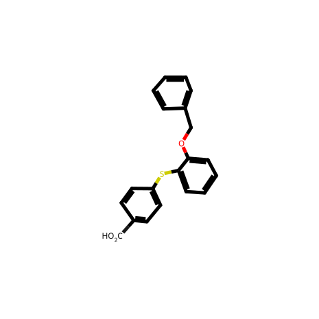 O=C(O)c1ccc(Sc2ccccc2OCc2ccccc2)cc1